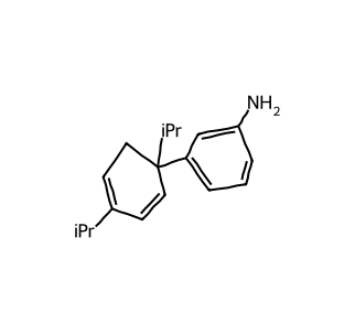 CC(C)C1=CCC(c2cccc(N)c2)(C(C)C)C=C1